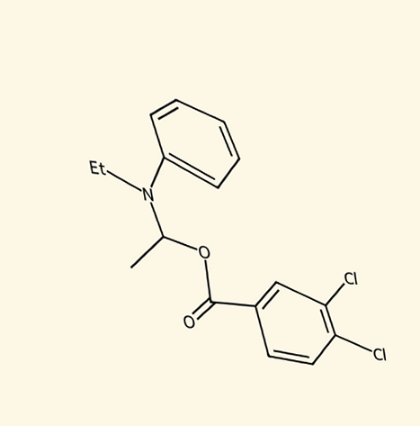 CCN(c1ccccc1)C(C)OC(=O)c1ccc(Cl)c(Cl)c1